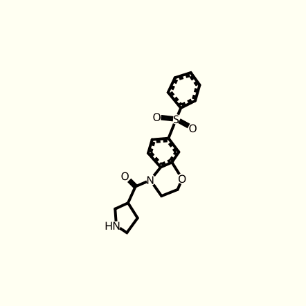 O=C(C1CCNC1)N1CCOc2cc(S(=O)(=O)c3ccccc3)ccc21